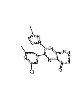 Cc1cc(-c2nc3c(=O)cc[nH]c3nc2-n2ccc(C)n2)cc(Cl)n1